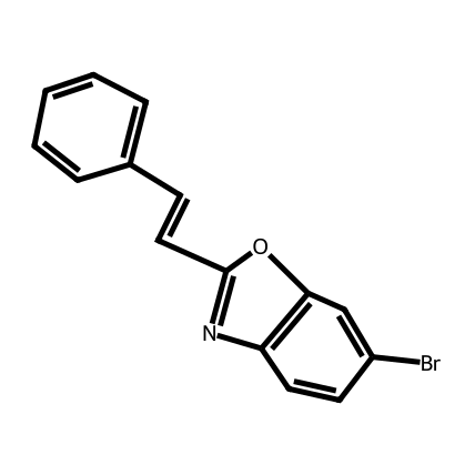 Brc1ccc2nc(/C=C/c3ccccc3)oc2c1